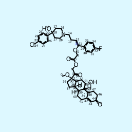 CO[C@]1(C(=O)COC(=O)CO/C(=C\CCN2CCC(O)(c3ccc(Cl)cc3)CC2)c2ccc(F)cc2)CC[C@H]2[C@@H]3CCC4=CC(=O)CC[C@]4(C)[C@H]3[C@@H](O)C[C@@]21C